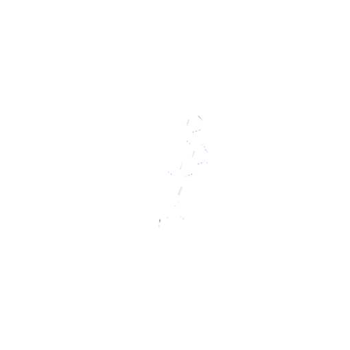 CC(C)=C(C)[C@@]12CN(C)C[C@]1(C#Cc1cc3ncnc(Nc4cccc(Cl)c4F)c3cc1N)C2